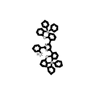 Cc1ccccc1-c1nc(-c2cccc3c2Oc2ccccc2[Si]3(c2ccccc2)c2ccccc2)cc(-c2cccc3c2Oc2ccccc2[Si]3(c2ccccc2)c2ccccc2)n1